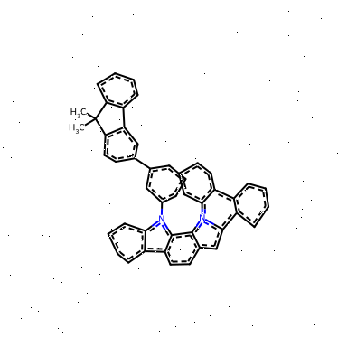 CC1(C)c2ccccc2-c2cc(-c3cccc(-n4c5ccccc5c5ccc6cc7c8ccccc8c8ccccc8n7c6c54)c3)ccc21